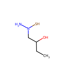 CCC(O)CN(N)S